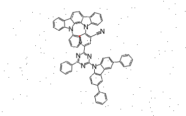 N#Cc1cc(-c2nc(-c3ccccc3)nc(-n3c4ccc(-c5ccccc5)cc4c4cc(-c5ccccc5)ccc43)n2)ccc1-n1c2ccccc2c2ccc3c4ccccc4n(-c4ccccc4)c3c21